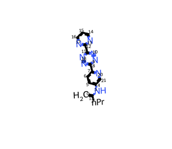 C=C(CCC)Nc1ccc(-c2nnc(-c3ncccn3)nn2)nc1